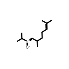 CC(C)=CCCC(C)C=[N+]([O-])C(C)C